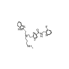 NCCCN(CCc1nc2ccccc2[nH]1)CCc1nc(C(=O)NCc2ncccc2F)cs1